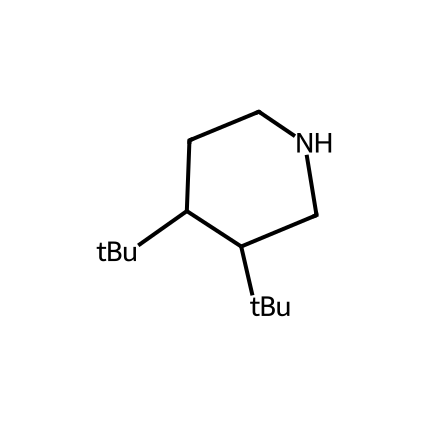 CC(C)(C)C1CCNCC1C(C)(C)C